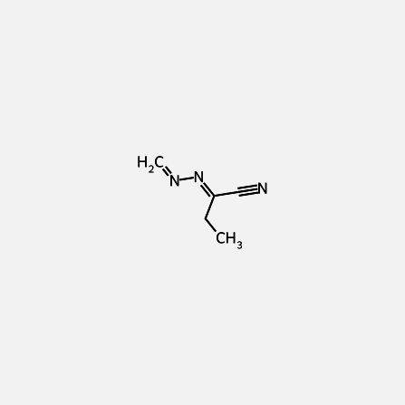 C=N/N=C(/C#N)CC